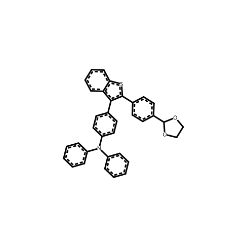 c1ccc(N(c2ccccc2)c2ccc(-c3c(-c4ccc(C5OCCO5)cc4)sc4ccccc34)cc2)cc1